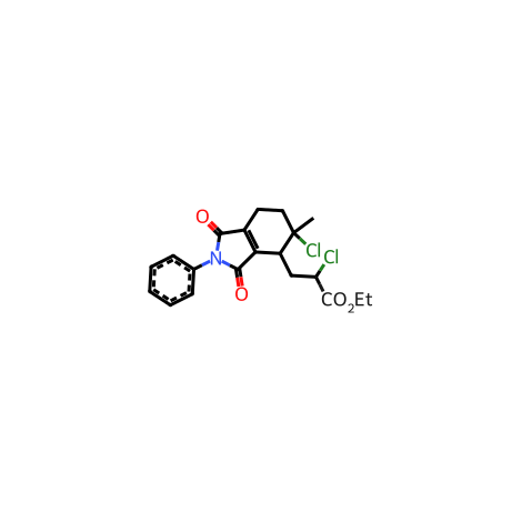 CCOC(=O)C(Cl)CC1C2=C(CCC1(C)Cl)C(=O)N(c1ccccc1)C2=O